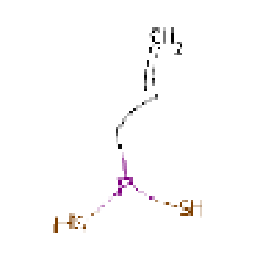 C=CCP(S)S